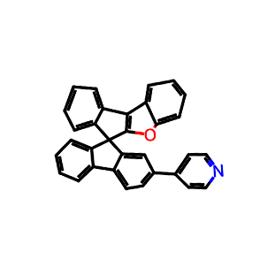 c1ccc2c(c1)-c1ccc(-c3ccncc3)cc1C21c2ccccc2-c2c1oc1ccccc21